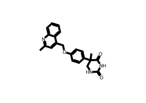 Cc1cc(COc2ccc(C3(C)CNC(=O)NC3=O)cc2)c2ccccc2n1